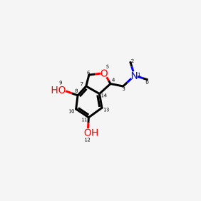 CN(C)CC1OCc2c(O)cc(O)cc21